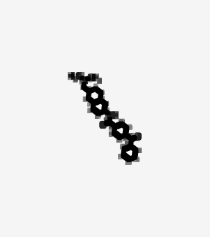 CN(C)CC1CCc2cc(NC(=O)c3ccc(C(=O)c4ccccc4)cc3)ccc2C1